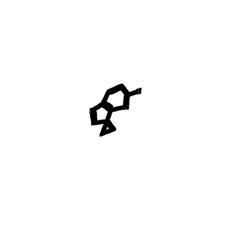 Clc1ccc2c(n1)C1(C=N2)CC1